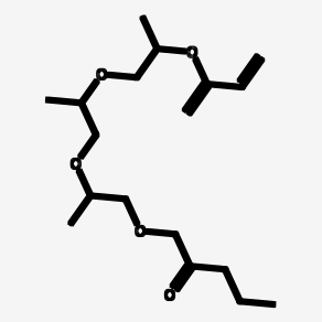 C=CC(=C)OC(C)COC(C)COC(C)COCC(=O)CCC